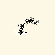 Cc1cc2c(cc1B(O)O)CN(CCCOc1cccc3c1CN(C1CCC(=O)NC1=O)C3=O)C2=O